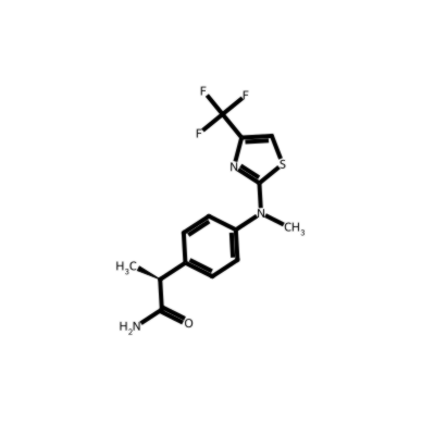 C[C@H](C(N)=O)c1ccc(N(C)c2nc(C(F)(F)F)cs2)cc1